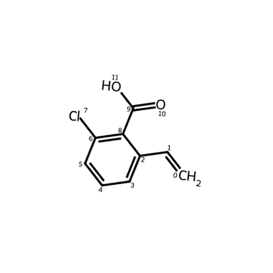 C=Cc1cccc(Cl)c1C(=O)O